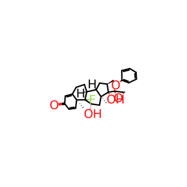 C[C@@H]1C[C@H]2[C@@H]3CCC4=CC(=O)C=C[C@]4(C)[C@@]3(F)[C@@H](O)C[C@]2(C)[C@@]1(O)[C@]1(Oc2ccccc2)CO1